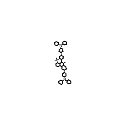 Cc1c2c3c(cccc3c3cc(-c4ccc(N(c5ccccc5)c5ccccc5)cc4)ccc13)C(C)(C)c1cc(-c3ccc(N(c4ccccc4)c4ccccc4)cc3)ccc1-2